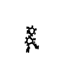 N#Cc1ccc(-c2ccc[c]n2)cc1C#N